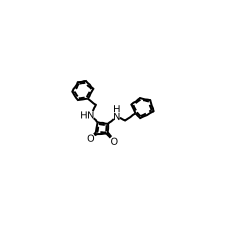 O=c1c(NCc2ccccc2)c(NCc2ccccc2)c1=O